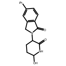 CC(C)c1ccc2c(c1)CN(C1CCC(O)NC1=O)C2=O